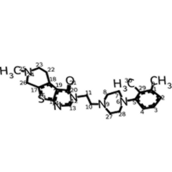 Cc1cccc(N2CCN(CCn3cnc4sc5c(c4c3=O)CCN(C)C5)CC2)c1C